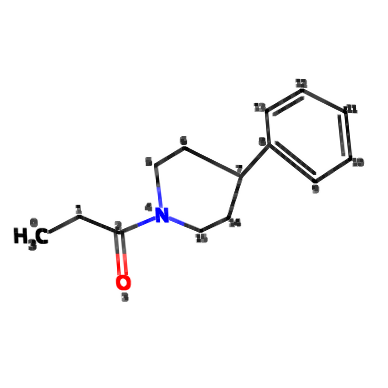 CCC(=O)N1CCC(c2cc[c]cc2)CC1